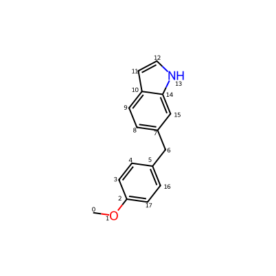 COc1ccc(Cc2ccc3cc[nH]c3c2)cc1